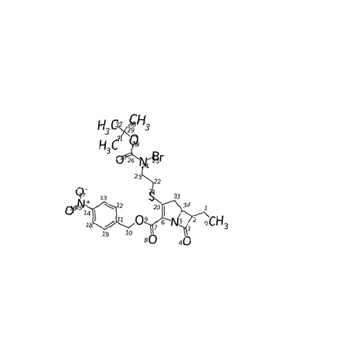 CCC1C(=O)N2C(C(=O)OCc3ccc([N+](=O)[O-])cc3)=C(SCCN(Br)C(=O)OC(C)(C)C)CC12